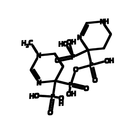 CN1C=NC(P(=O)(O)O)(P(=O)(O)OP(=O)(O)C2(P(=O)(O)O)CCNC=N2)CC1